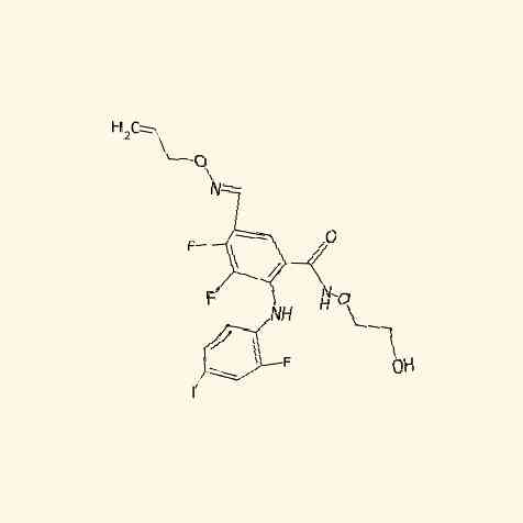 C=CCO/N=C/c1cc(C(=O)NOCCO)c(Nc2ccc(I)cc2F)c(F)c1F